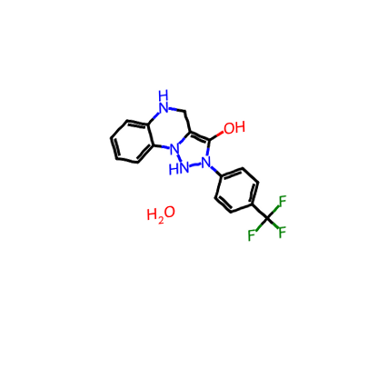 O.OC1=C2CNc3ccccc3N2NN1c1ccc(C(F)(F)F)cc1